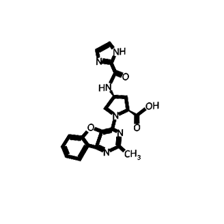 Cc1nc(N2C[C@@H](NC(=O)c3ncc[nH]3)C[C@H]2C(=O)O)c2oc3ccccc3c2n1